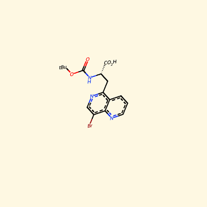 CC(C)(C)OC(=O)N[C@@H](Cc1ncc(Br)c2ncccc12)C(=O)O